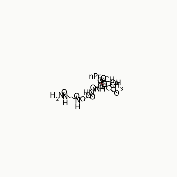 CCCC1O[C@@H]2CC3[C@@H]4CCC5=CC(=O)C=C[C@]5(C)C4[C@@H](O)C[C@]3(C)[C@]2(C(=O)COCNC(=O)CNC(=O)OCc2ccc(NC(=O)CCCCNC(N)=O)cc2)O1